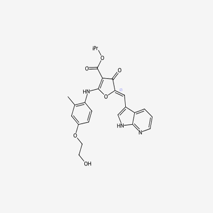 Cc1cc(OCCO)ccc1NC1=C(C(=O)OC(C)C)C(=O)/C(=C/c2c[nH]c3ncccc23)O1